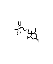 COC(C)[SH](C)CCOCC1(C)C(I)CC(I)CC1I